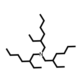 CCCCC(CC)CN(CC(CC)CCCC)CC(CC)CCCC